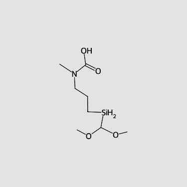 COC(OC)[SiH2]CCCN(C)C(=O)O